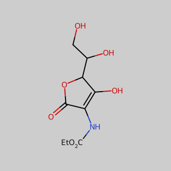 CCOC(=O)NC1=C(O)C(C(O)CO)OC1=O